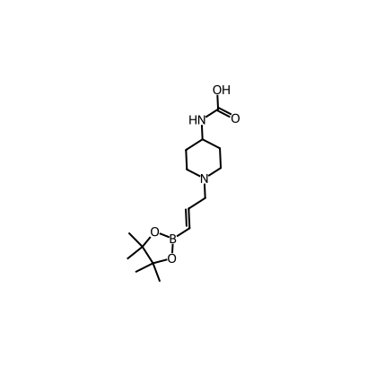 CC1(C)OB(C=CCN2CCC(NC(=O)O)CC2)OC1(C)C